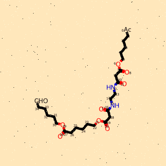 CC(=O)CCCCCOC(=O)CC(=O)NCCNC(=O)CC(=O)OCCCCCC(=O)OCCCCCC=O